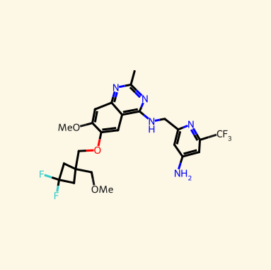 COCC1(COc2cc3c(NCc4cc(N)cc(C(F)(F)F)n4)nc(C)nc3cc2OC)CC(F)(F)C1